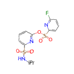 CC(C)NS(=O)(=O)c1cccc(OS(=O)(=O)c2cccc(F)n2)n1